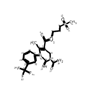 CC1=C(C(=O)OCCCS(C)(=O)=O)CN(C(N)=O)C(=N)N1c1cccc(C(F)(F)F)c1